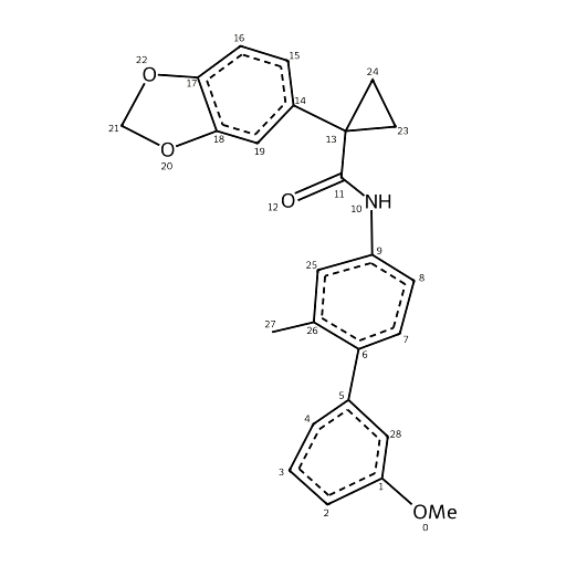 COc1cccc(-c2ccc(NC(=O)C3(c4ccc5c(c4)OCO5)CC3)cc2C)c1